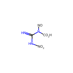 N=C(N[N+](=O)[O-])N(N=O)C(=O)O